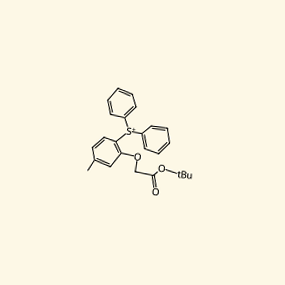 Cc1ccc([S+](c2ccccc2)c2ccccc2)c(OCC(=O)OC(C)(C)C)c1